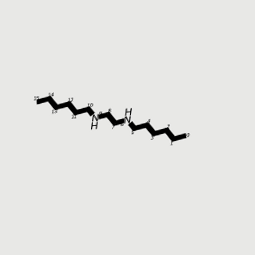 [CH2]CCCCCNCCNCCCCCC